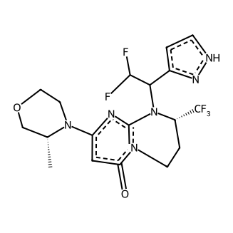 C[C@@H]1COCCN1c1cc(=O)n2c(n1)N(C(c1cc[nH]n1)C(F)F)[C@H](C(F)(F)F)CC2